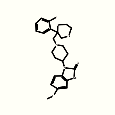 COc1ccc2c(c1)[nH]c(=O)n2C1CCN(CC2(c3ccccc3F)COCCO2)CC1